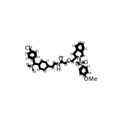 COc1ccc(S(=O)(=O)N2Cc3ccccc3CC2COCC(=O)NCCC2CCC(C(c3ccc(Cl)cc3)N(C)C)CC2)cc1